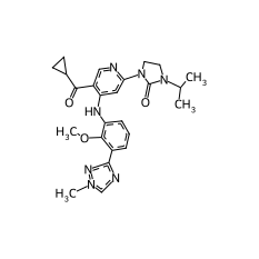 COc1c(Nc2cc(N3CCN(C(C)C)C3=O)ncc2C(=O)C2CC2)cccc1-c1ncn(C)n1